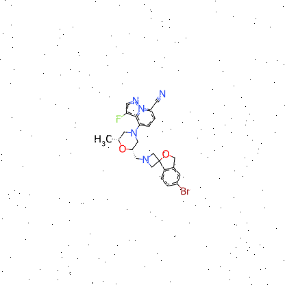 C[C@@H]1CN(c2ccc(C#N)n3ncc(F)c23)C[C@H](CN2CC3(C2)OCc2cc(Br)ccc23)O1